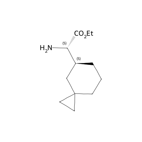 CCOC(=O)[C@@H](N)[C@H]1CCCC2(CC2)C1